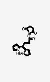 O=C(CCC1=C2C=CCN2Bn2cccc21)ON1C(=O)CCC1=O